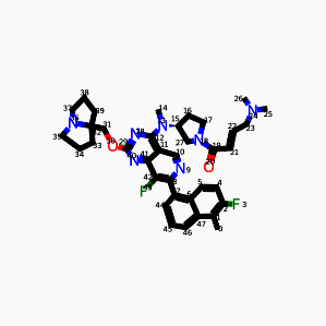 Cc1c(F)ccc2c(-c3ncc4c(N(C)[C@@H]5CCN(C(=O)/C=C/CN(C)C)C5)nc(OCC56CCCN5CCC6)nc4c3F)cccc12